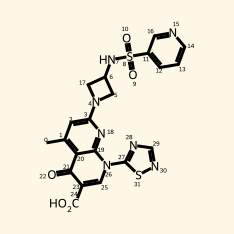 Cc1cc(N2CC(NS(=O)(=O)c3cccnc3)C2)nc2c1c(=O)c(C(=O)O)cn2-c1ncns1